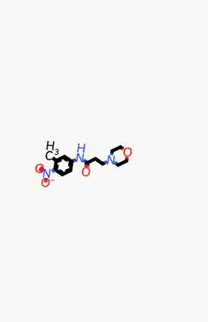 Cc1cc(NC(=O)CCN2CCOCC2)ccc1[N+](=O)[O-]